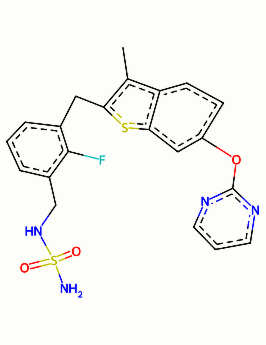 Cc1c(Cc2cccc(CNS(N)(=O)=O)c2F)sc2cc(Oc3ncccn3)ccc12